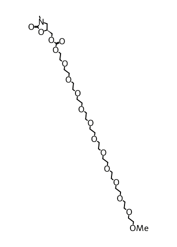 COCCOCCOCCOCCOCCOCCOCCOCCOCCOCCOCCOCCOC(=O)OC[C@@H]1CN(C)C(=O)O1